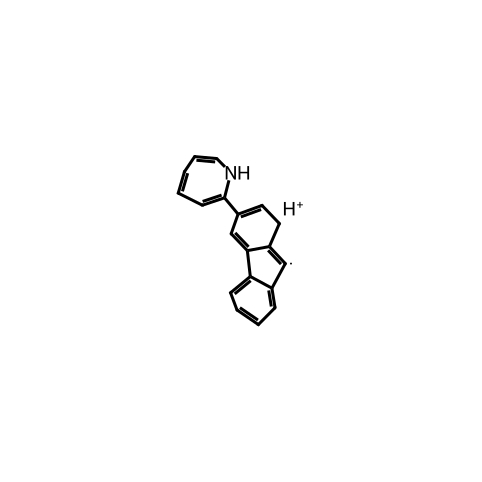 [C]1=C2CC=C(C3=CC=CC=CN3)C=C2c2ccccc21.[H+]